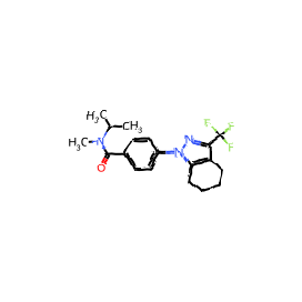 CC(C)N(C)C(=O)c1ccc(-n2nc(C(F)(F)F)c3c2CCCC3)cc1